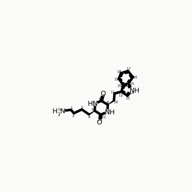 NCCCC[C@H]1NC(=O)[C@@H](CCc2c[nH]c3ccccc23)NC1=O